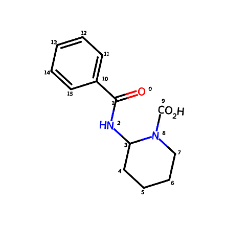 O=C(NC1CCCCN1C(=O)O)c1ccccc1